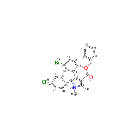 Cc1c(C(=O)OCc2ccccc2)c(-c2cccc(Br)c2)c(-c2ccc(Cl)cc2)n1C(C)C